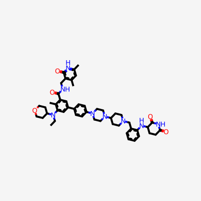 CCN(c1cc(-c2ccc(N3CCN(C4CCN(Cc5ccccc5NC5CCC(=O)NC5=O)CC4)CC3)cc2)cc(C(=O)NCc2c(C)cc(C)[nH]c2=O)c1C)C1CCOCC1